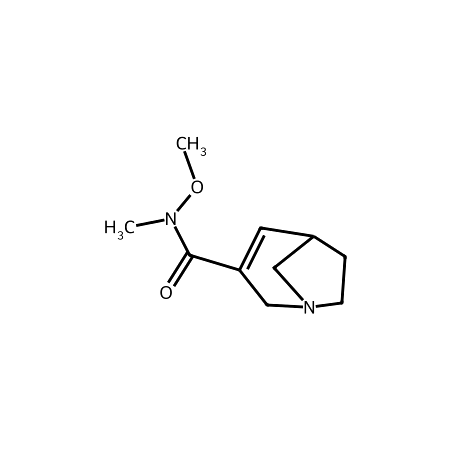 CON(C)C(=O)C1=CC2CCN(C1)C2